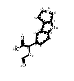 O=COC(C(=O)O)c1ccc2oc3ccccc3c2c1